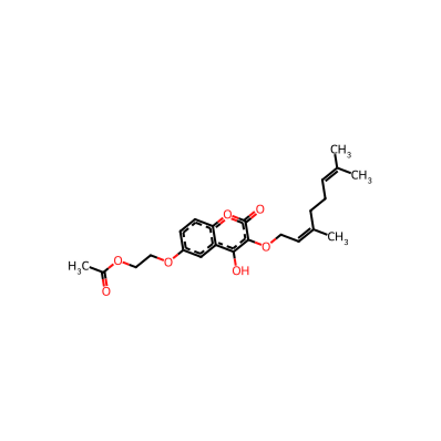 CC(=O)OCCOc1ccc2oc(=O)c(OCC=C(C)CCC=C(C)C)c(O)c2c1